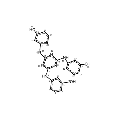 Oc1cccc(Nc2nc(Nc3cccc(O)c3)nc(Nc3cccc(O)c3)n2)c1